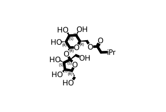 CC(C)CC(=O)OC[C@H]1O[C@H](O[C@]2(CO)O[C@H](CO)[C@@H](O)[C@@H]2O)[C@H](O)[C@@H](O)[C@@H]1O